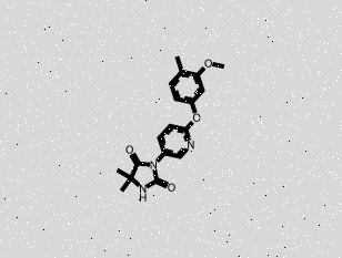 COc1cc(Oc2ccc(N3C(=O)NC(C)(C)C3=O)cn2)ccc1C